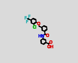 O=C(O)c1cccc(NC(=O)c2cccc(COc3ccc(C(F)(F)F)cc3Cl)c2)c1